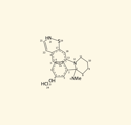 CNC1(c2ccccc2)CCCCN1c1ccc2c(c1)SNC=C2.Cl.Cl